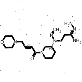 C=NN(CC/C(N)=N\N)[C@@H]1CCCN(C(=O)/C=C/CN2CCOCC2)C1